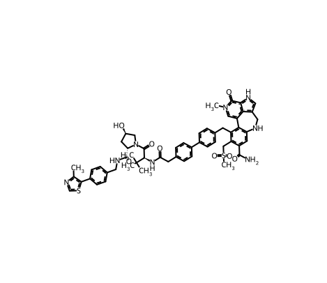 Cc1ncsc1-c1ccc(CNC(=O)[C@@H]2C[C@@H](O)CN2C(=O)[C@@H](NC(=O)Cc2ccc(-c3ccc(Cc4c(CS(C)(=O)=O)c(C(N)=O)cc5c4-c4cn(C)c(=O)c6[nH]cc(c46)CN5)cc3)cc2)C(C)(C)C)cc1